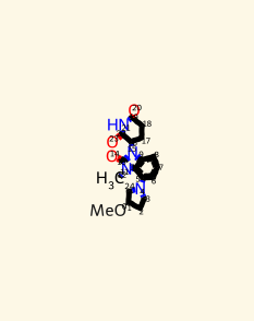 CO[C@H]1CCN(c2cccc3c2n(C)c(=O)n3C2CCC(=O)NC2=O)C1